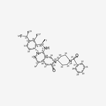 Cc1nnc(N[C@H](C)c2cccc(C(F)F)c2F)c2cn(C3CCN(C(=O)c4ccccc4)CC3)c(=O)cc12